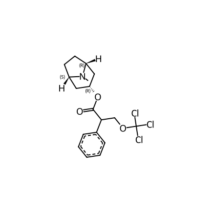 CN1[C@@H]2CC[C@H]1C[C@@H](OC(=O)C(COC(Cl)(Cl)Cl)c1ccccc1)C2